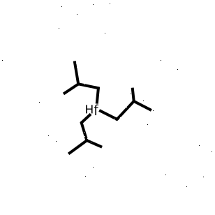 CC(C)[CH2][Hf]([CH2]C(C)C)[CH2]C(C)C